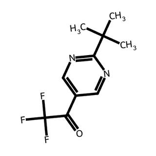 CC(C)(C)c1ncc(C(=O)C(F)(F)F)cn1